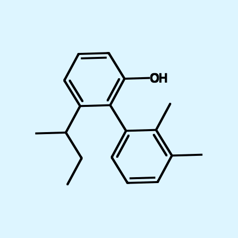 CCC(C)c1cccc(O)c1-c1cccc(C)c1C